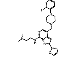 CN(C)CCNc1ncc(CN2CCN(c3ccccc3F)CC2)c2nc(-c3ccco3)nn12